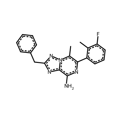 Cc1c(F)cccc1-c1nc(N)c2nc(Cc3ccccc3)nn2c1C